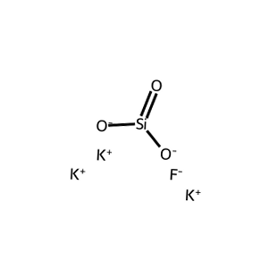 O=[Si]([O-])[O-].[F-].[K+].[K+].[K+]